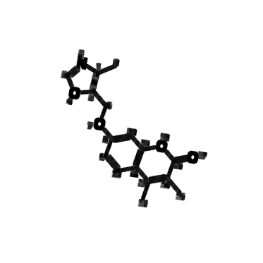 Cc1ncoc1COc1ccc2c(C)c(C)c(=O)oc2c1